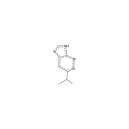 CC(C)c1cc2nc[nH]c2nn1